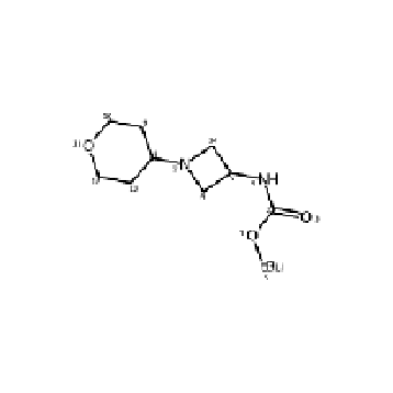 CC(C)(C)OC(=O)NC1CN(C2CCOCC2)C1